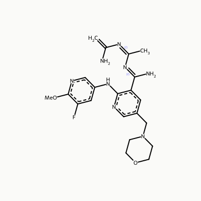 C=C(N)/N=C(C)\N=C(/N)c1cc(CN2CCOCC2)cnc1Nc1cnc(OC)c(F)c1